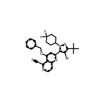 CC(C)(C)c1nn(C2CCC(F)(F)CC2)c(-c2cc(OCc3ccccc3)c3c(C#N)nccc3n2)c1Br